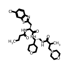 CCCC(=O)N[C@@H](Cc1nc2ccc(Cl)cc2s1)C(=O)N[C@H](CNC(=O)C(C)CN1CCOCC1)C1CCOCC1